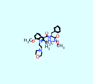 COc1cccc2c(C(=O)N[C@@H](Cc3ccccc3)C(=O)N(C)OC)c(C)n(CCN3CCOCC3)c12